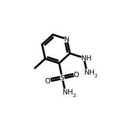 Cc1ccnc(NN)c1S(N)(=O)=O